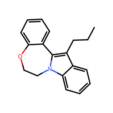 CCCc1c2n(c3ccccc13)CCOc1ccccc1-2